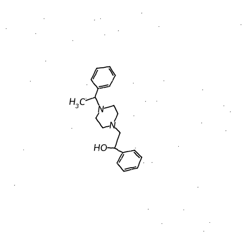 CC(c1ccccc1)N1CCN(CC(O)c2ccccc2)CC1